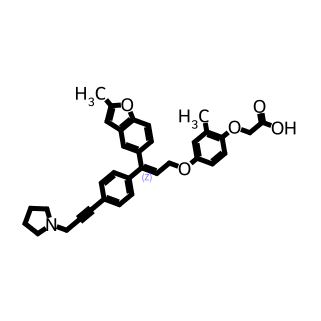 Cc1cc2cc(/C(=C\COc3ccc(OCC(=O)O)c(C)c3)c3ccc(C#CCN4CCCC4)cc3)ccc2o1